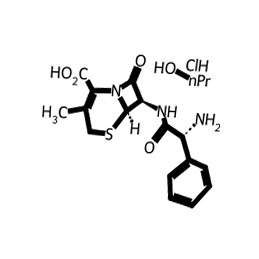 CC1=C(C(=O)O)N2C(=O)[C@@H](NC(=O)[C@H](N)c3ccccc3)[C@H]2SC1.CCCO.Cl